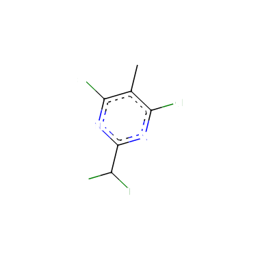 Cc1c(Cl)nc(C(F)F)nc1Cl